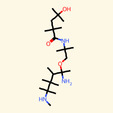 CNC(C)(C)C(C)(C)C(C)C(C)(N)OCC(C)(C)NC(=O)C(C)(C)CC(C)(C)O